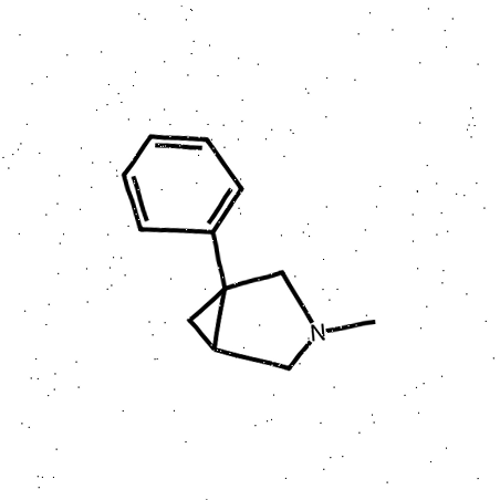 CN1CC2CC2(c2ccccc2)C1